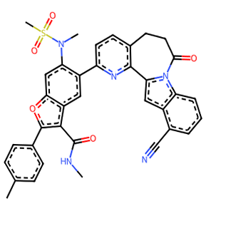 CNC(=O)c1c(-c2ccc(C)cc2)oc2cc(N(C)S(C)(=O)=O)c(-c3ccc4c(n3)-c3cc5c(C#N)cccc5n3C(=O)CC4)cc12